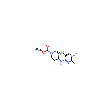 Cc1nc(NC2CCN(C(=O)OC(C)(C)C)CC2)c([N+](=O)[O-])cc1Cl